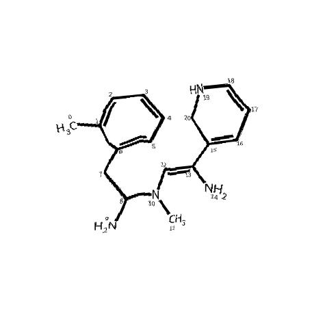 Cc1ccccc1CC(N)N(C)/C=C(\N)C1=CC=CNC1